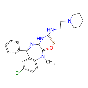 CN1C(=O)C(NC(=S)NCCN2CCCCC2)N=C(c2ccccc2)c2cc(Cl)ccc21